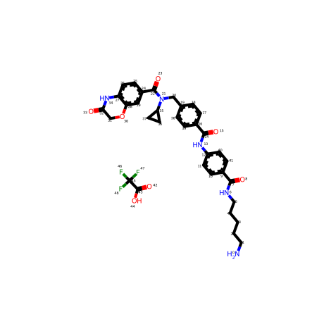 NCCCCCNC(=O)c1ccc(NC(=O)c2ccc(CN(C(=O)c3ccc4c(c3)OCC(=O)N4)C3CC3)cc2)cc1.O=C(O)C(F)(F)F